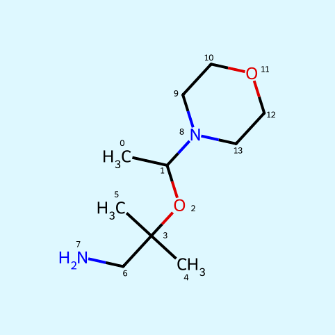 CC(OC(C)(C)CN)N1CCOCC1